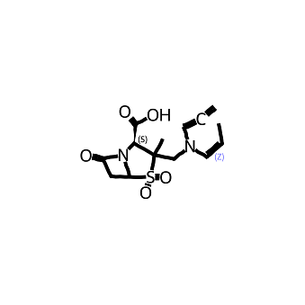 C=C=CN(/C=C\C)CC1(C)[C@H](C(=O)O)N2C(=O)CC2S1(=O)=O